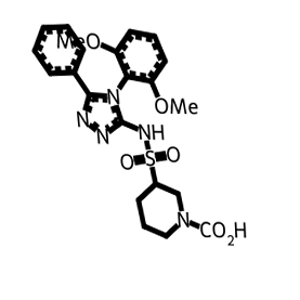 COc1cccc(OC)c1-n1c(NS(=O)(=O)C2CCCN(C(=O)O)C2)nnc1-c1ccccc1